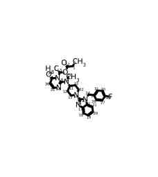 CCC(=O)OC(C)n1c(N(C)C2CCN(c3nc4ccccc4n3Cc3ccc(F)cc3)CC2)nccc1=O